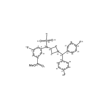 COC(=O)c1cc(F)cc(N(C2CN(C(c3ccc(F)cc3)c3ccc(F)cc3)C2)S(C)(=O)=O)c1